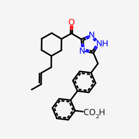 CC=CCC1CCCC(C(=O)c2n[nH]c(Cc3ccc(-c4ccccc4C(=O)O)cc3)n2)C1